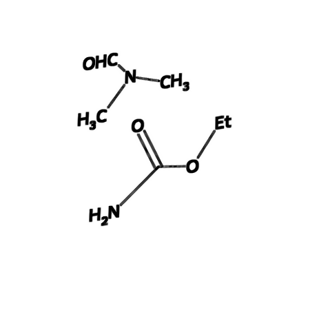 CCOC(N)=O.CN(C)C=O